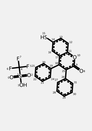 O=S(=O)(O)C(F)(F)F.O=c1oc2ccc(S)cc2c(-c2ccccc2)c1-c1ccccc1